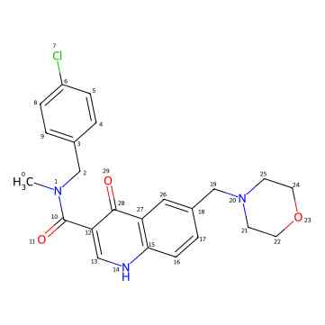 CN(Cc1ccc(Cl)cc1)C(=O)c1c[nH]c2ccc(CN3CCOCC3)cc2c1=O